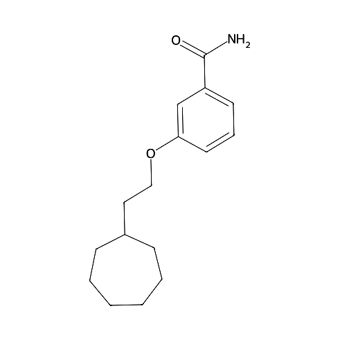 NC(=O)c1cccc(OCCC2CCCCCC2)c1